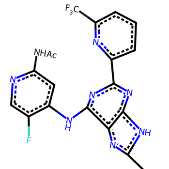 CC(=O)Nc1cc(Nc2nc(-c3cccc(C(F)(F)F)n3)nc3[nH]c(C)nc23)c(F)cn1